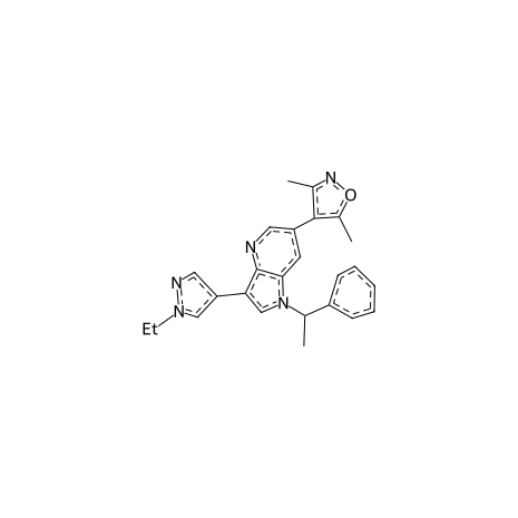 CCn1cc(-c2cn(C(C)c3ccccc3)c3cc(-c4c(C)noc4C)cnc23)cn1